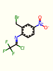 O=[N+]([O-])c1ccc(N=C(Cl)C(F)(F)F)c(CBr)c1